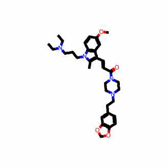 CCN(CC)CCCn1c(C)c(C=CC(=O)N2CCN(CCc3ccc4c(c3)OCO4)CC2)c2cc(OC)ccc21